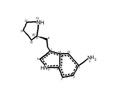 Nc1ccc2[nH]cc(C[C@H]3CCCN3)c2c1